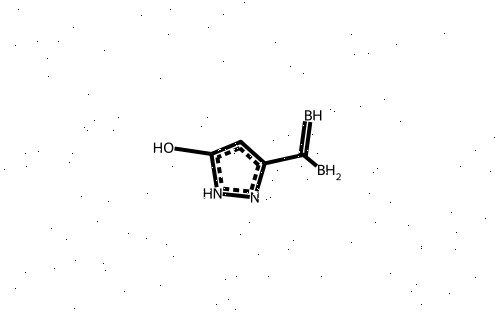 B=C(B)c1cc(O)[nH]n1